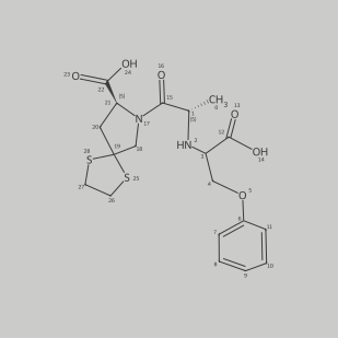 C[C@H](NC(COc1ccccc1)C(=O)O)C(=O)N1CC2(C[C@H]1C(=O)O)SCCS2